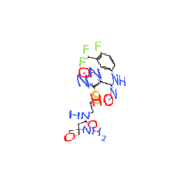 NC1(CC(=O)NCCSc2nonc2/C(=N\O)Nc2ccc(F)c(C(F)F)c2)COC1